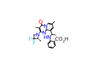 Cc1cc(C(C)Nc2ccccc2C(=O)O)c2nc(N3CC(F)(F)[C@@H]3C)c(C)c(=O)n2c1